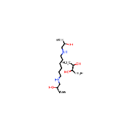 CCCCCCCCCC(O)CNCCCCCCNCC(O)CCCCCCCCC.O=C(O)C(O)C(O)C(=O)O